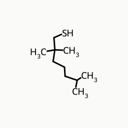 CC(C)CCCC(C)(C)CS